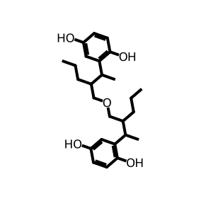 CCCC(COCC(CCC)C(C)c1cc(O)ccc1O)C(C)c1cc(O)ccc1O